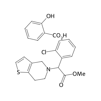 COC(=O)C(c1ccccc1Cl)N1CCc2sccc2C1.O=C(O)c1ccccc1O